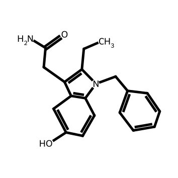 CCc1c(CC(N)=O)c2cc(O)ccc2n1Cc1ccccc1